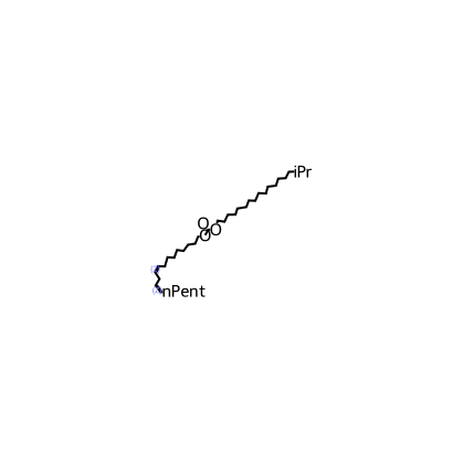 CCCCC/C=C\C/C=C\CCCCCCCCOC(=O)OCCCCCCCCCCCCCCCC(C)C